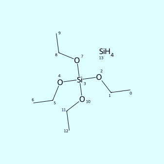 CCO[Si](OCC)(OCC)OCC.[SiH4]